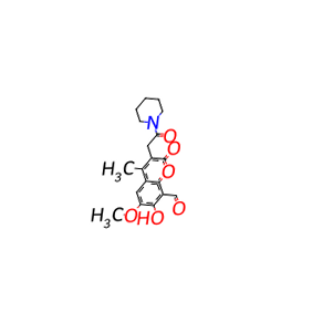 COc1cc2c(C)c(CC(=O)N3CCCCC3)c(=O)oc2c(C=O)c1O